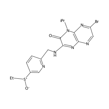 CC[S+]([O-])c1ccc(CNc2nc3ncc(Br)nc3n(C(C)C)c2=O)nc1